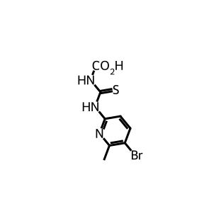 Cc1nc(NC(=S)NC(=O)O)ccc1Br